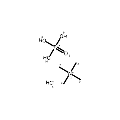 C[N+](C)(C)C.Cl.O=P(O)(O)O